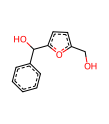 OCc1ccc(C(O)c2ccccc2)o1